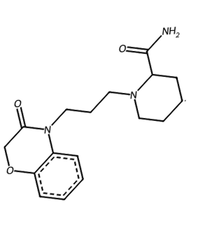 NC(=O)C1C[CH]CCN1CCCN1C(=O)COc2ccccc21